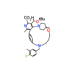 Cc1cc(CN2CCCCCOC3(C)CCN(CC3)c3c(c(C)nc(C)c3[C@H](OC(C)(C)C)C(=O)O)-c3ccc(cc3)C2)ccc1F